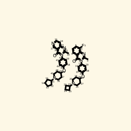 Cc1nc2c(F)cccc2c(=O)n1-c1ccc(OC2CCN(C3CCC3)CC2)cc1.Cc1nc2ccncc2c(=O)n1-c1ccc(OC2CCN(C3CCCC3)CC2)cc1